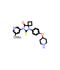 COc1cncc(N2C(=O)C3(CCC3)N(c3ccc(OC4CCNCC4)cc3)C2=S)c1